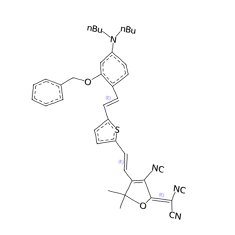 [C-]#[N+]C1=C(/C=C/c2ccc(/C=C/c3ccc(N(CCCC)CCCC)cc3OCc3ccccc3)s2)C(C)(C)O/C1=C(\C#N)[N+]#[C-]